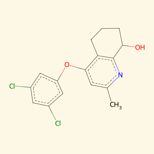 Cc1cc(Oc2cc(Cl)cc(Cl)c2)c2c(n1)C(O)CCC2